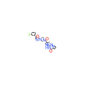 Cc1c(C(=O)N2CCN(c3ncc(-c4cccc(F)c4)o3)CC2)cnn1-c1nn2cccc2c(=O)[nH]1